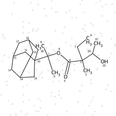 CCC(C)(C(=O)OC(C)(C)C12CC3CC(CC(C3)C1)C2)C(C)O